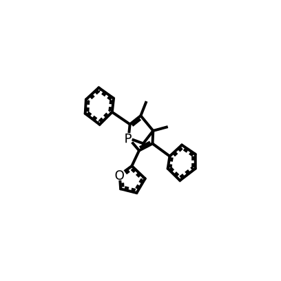 CC1=C(c2ccccc2)P2CC1(C)C(c1ccccc1)=C2c1ccco1